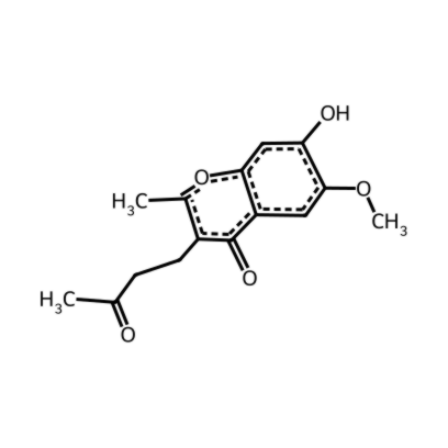 COc1cc2c(=O)c(CCC(C)=O)c(C)oc2cc1O